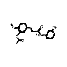 COc1ccc(C=CC(=O)Nc2cccc(O)c2)cc1OC(C)=O